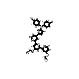 Cc1ccc(N(c2ccc(C)cc2)c2ccc(-c3ccnc(-c4cc(OC=O)cc(-c5cc(OC=O)ccn5)n4)c3)s2)cc1